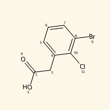 O=C(O)Cc1cccc(Br)c1Cl